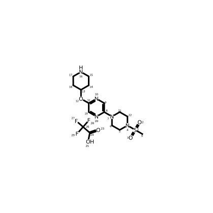 CS(=O)(=O)N1CCN(c2cnc(OC3CCNCC3)cn2)CC1.O=C(O)C(F)(F)F